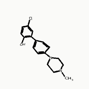 CN1CCN(c2ccc(-c3cc(Cl)ccc3O)cc2)CC1